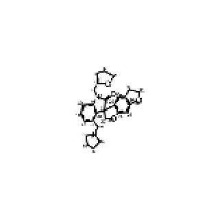 O=C1N(C[C@H]2CCCO2)c2cccc(CN3CCCC3)c2C12COc1cc3c(cc12)CCO3